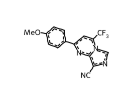 COc1ccc(-c2cc(C(F)(F)F)n3cnc(C#N)c3n2)cc1